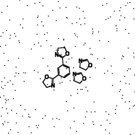 C1=NCCO1.C1=NCCO1.c1cc(C2=NCCO2)cc(C2=NCCO2)c1